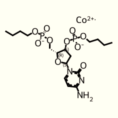 CCCCOP(=O)([O-])OC[C@H]1O[C@H](n2ccc(N)nc2=O)C[C@@H]1OP(=O)([O-])OCCCC.[Co+2]